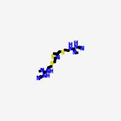 CN=C(NC#N)NCCSCc1csc(CSCCNC(=NC)NC#N)n1